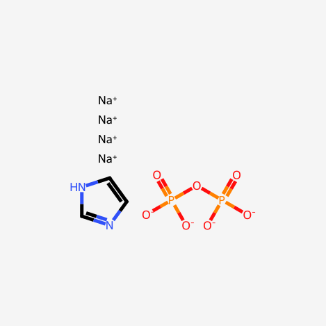 O=P([O-])([O-])OP(=O)([O-])[O-].[Na+].[Na+].[Na+].[Na+].c1c[nH]cn1